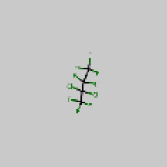 FC(F)(F)C(F)(Cl)C(Cl)(Cl)C(F)(F)F